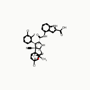 CC(C)(C)C[C@@H]1N[C@@H](C(=O)Nc2cccc3[nH]c(C(=O)O)cc23)[C@H](c2cccc(Cl)c2F)[C@@]1(C#N)c1ccc(Cl)cc1F